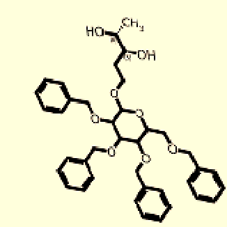 C[C@@H](O)[C@@H](O)CCOC1OC(COCc2ccccc2)C(OCc2ccccc2)C(OCc2ccccc2)C1OCc1ccccc1